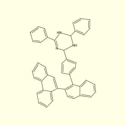 c1ccc(C2=NC(c3ccc(-c4c(-c5cc6ccccc6c6ccccc56)ccc5ccccc45)cc3)NC(c3ccccc3)N2)cc1